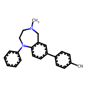 CN1CCN(c2ccccc2)c2ccc(-c3ccc(C#N)cc3)cc2C1